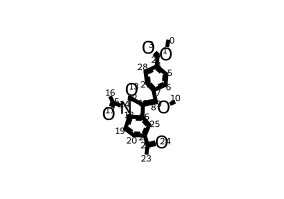 COC(=O)c1ccc(C(OC)=C2C(=O)N(C(C)=O)c3ccc(C(C)=O)cc32)cc1